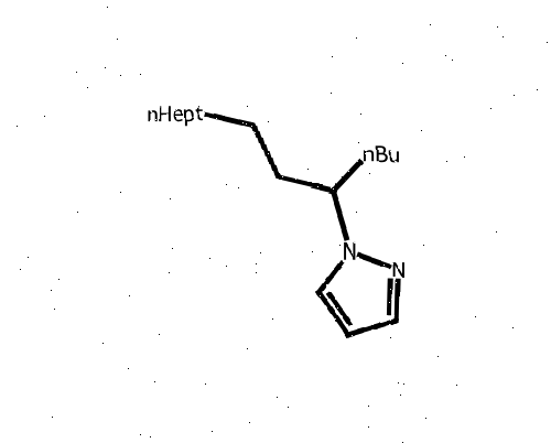 CCCCCCCCCC(CCCC)n1cccn1